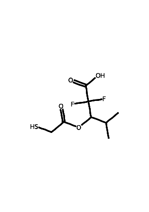 CC(C)C(OC(=O)CS)C(F)(F)C(=O)O